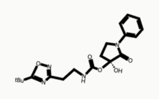 CC(C)(C)c1nc(CCNC(=O)O[C@@]2(O)CCN(c3ccccc3)C2=O)no1